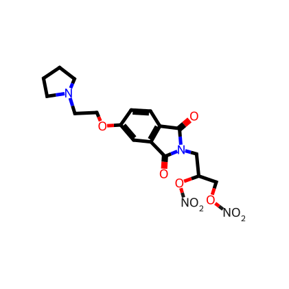 O=C1c2ccc(OCCN3CCCC3)cc2C(=O)N1CC(CO[N+](=O)[O-])O[N+](=O)[O-]